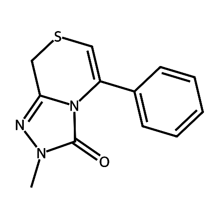 Cn1nc2n(c1=O)C(c1ccccc1)=CSC2